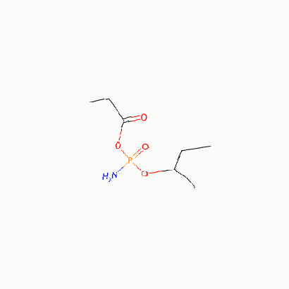 CCC(=O)OP(N)(=O)OC(C)CC